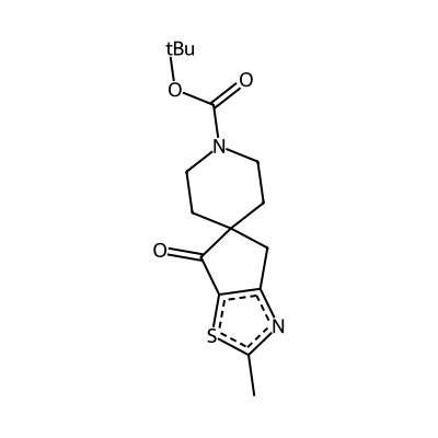 Cc1nc2c(s1)C(=O)C1(CCN(C(=O)OC(C)(C)C)CC1)C2